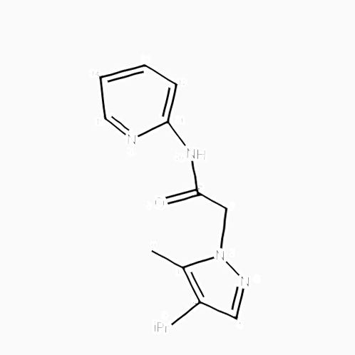 Cc1c(C(C)C)cnn1CC(=O)Nc1ccccn1